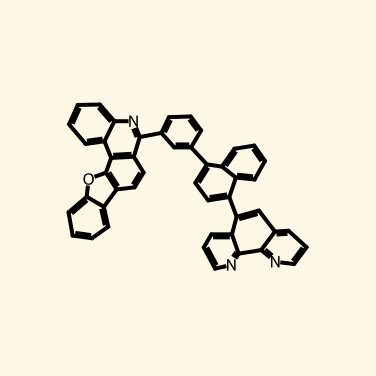 c1cc(-c2ccc(-c3cc4cccnc4c4ncccc34)c3ccccc23)cc(-c2nc3ccccc3c3c2ccc2c4ccccc4oc23)c1